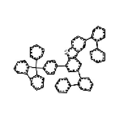 c1ccc(-c2ccccc2-c2ccc3sc4c(-c5ccc(C6(c7ccccc7)c7ccccc7-c7ccccc76)cc5)cc(-c5ccccc5-c5ccccc5)cc4c3c2)cc1